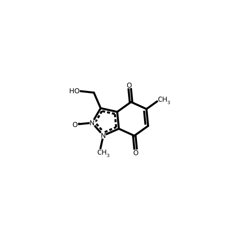 CC1=CC(=O)c2c(c(CO)[n+]([O-])n2C)C1=O